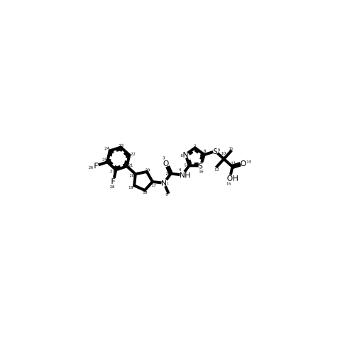 CN(C(=O)Nc1ncc(SC(C)(C)C(=O)O)s1)C1CCC(c2cccc(F)c2F)C1